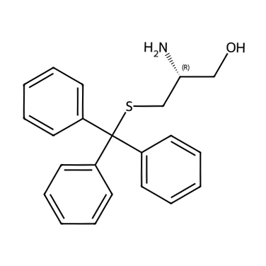 N[C@H](CO)CSC(c1ccccc1)(c1ccccc1)c1ccccc1